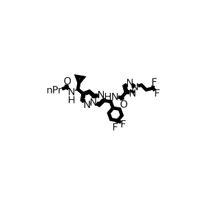 CCCC(=O)N[C@@H](c1cnn2cc([C@@H](NC(=O)c3cnn(CCC(F)F)n3)C3CCC(F)(F)CC3)nc2c1)C1CC1